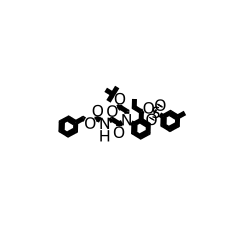 CCC(OS(=O)(=O)c1cccc(C)c1)c1ccccc1N(CC(=O)OC(C)(C)C)C(=O)CNC(=O)OCc1ccccc1